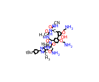 Cc1nc(-c2ccc(C(C)(C)C)cc2)nc(C)c1C(=O)N[C@@H](CCN)C(=O)N(C)[C@@H]1C(=O)N[C@@H](C)C(=O)N[C@H](C(=O)NCC#N)Cc2cc(OCCN)c(O)c(c2)-c2cc1ccc2OCCN